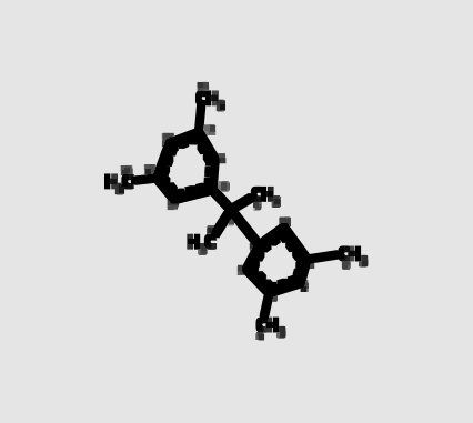 Cc1[c]c(C)cc(C(C)(C)c2cc(C)[c]c(C)c2)c1